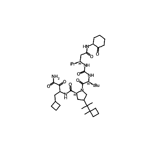 CC(C)[C@@H](CC(=O)NC1CCCCC1=O)NC(=O)N[C@H](C(=O)N1CC(C(C)(C)C2(C)CCC2)C[C@H]1C(=O)NC(CC1CCC1)C(=O)C(N)=O)C(C)(C)C